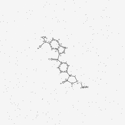 CC(=O)NC[C@H]1CN(c2ccc(C(=O)c3cnc4ccc([S+](C)[O-])cn34)cc2)C(=O)O1